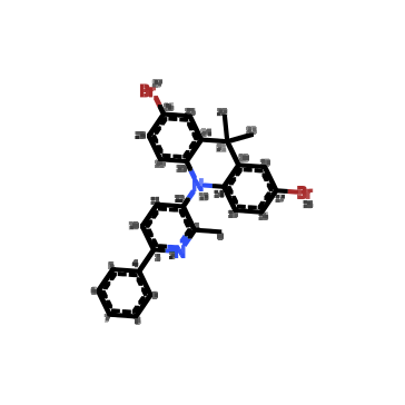 Cc1nc(-c2ccccc2)ccc1N1c2ccc(Br)cc2C(C)(C)c2cc(Br)ccc21